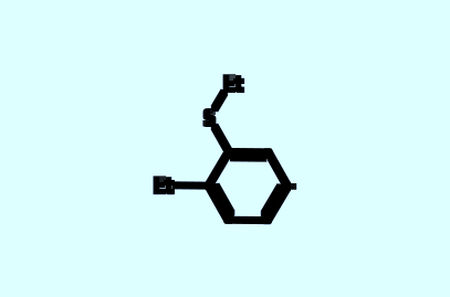 CCSc1c[c]ccc1CC